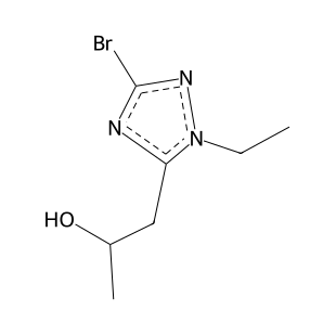 CCn1nc(Br)nc1CC(C)O